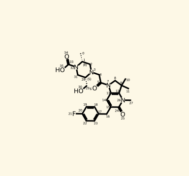 C[C@@H]1CN(CC(=O)N2CC(C)(C)c3c2cc(Cc2ccc(F)cc2)c(=O)n3C)[C@H](CO)CN1C(=O)O